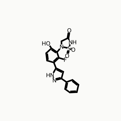 O=C1CN(c2c(O)ccc(-c3cc(-c4ccccc4)n[nH]3)c2F)S(=O)(=O)N1